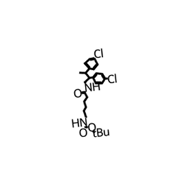 CC(c1ccc(Cl)cc1)C(CNC(=O)CCCCCNC(=O)OC(C)(C)C)c1ccc(Cl)cc1